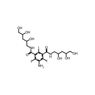 Nc1c(I)c(C(=O)NCC(O)CC(O)CO)c(I)c(C(=O)NCC(O)CC(O)CO)c1I